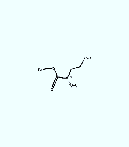 CSCC[C@H](N)C(=O)OBr